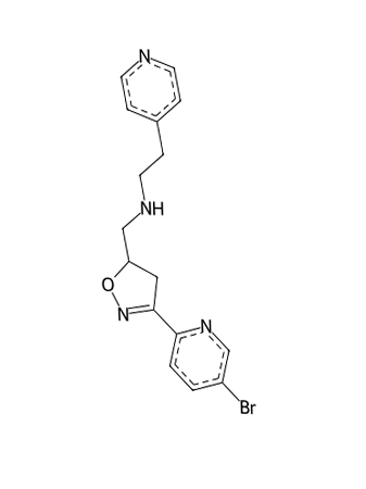 Brc1ccc(C2=NOC(CNCCc3ccncc3)C2)nc1